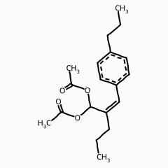 CCCC(=Cc1ccc(CCC)cc1)C(OC(C)=O)OC(C)=O